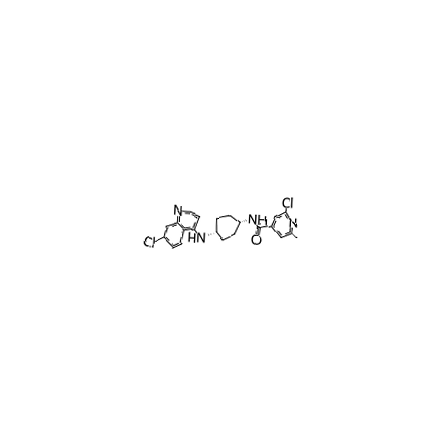 Cc1cc(C(=O)N[C@H]2CC[C@@H](Nc3ccnc4cc(Cl)ccc34)CC2)cc(Cl)n1